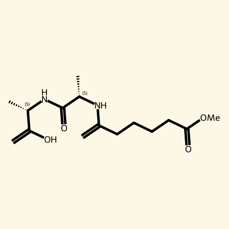 C=C(CCCCC(=O)OC)N[C@@H](C)C(=O)N[C@@H](C)C(=C)O